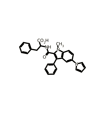 Cn1c(C(=O)NC(Cc2ccccc2)C(=O)O)c(-c2ccccc2)c2cc(-n3cccc3)ccc21